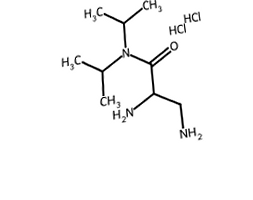 CC(C)N(C(=O)C(N)CN)C(C)C.Cl.Cl